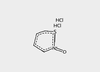 Cl.Cl.O=[n+]1ccccs1